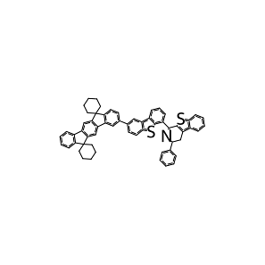 c1ccc(C2Cc3c(sc4ccccc34)C(c3cccc4c3sc3ccc(-c5ccc6c(c5)-c5cc7c(cc5C65CCCCC5)-c5ccccc5C75CCCCC5)cc34)=N2)cc1